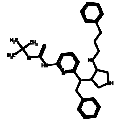 CC(C)(C)OC(=O)Nc1cccc(C(Cc2ccccc2)C2CNCC2NCCCc2ccccc2)n1